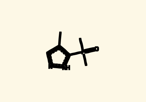 Cc1cn[nH]c1P(C)(C)=O